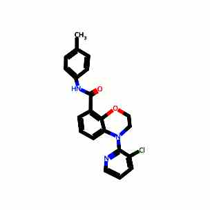 Cc1ccc(NC(=O)c2cccc3c2OCCN3c2ncccc2Cl)cc1